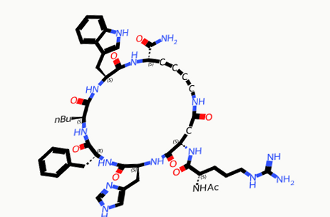 CCCC[C@@H]1NC(=O)[C@@H](Cc2ccccc2)NC(=O)[C@H](Cc2c[nH]cn2)NC(=O)[C@@H](NC(=O)[C@H](CCCNC(=N)N)NC(C)=O)CC(=O)NCCCC[C@@H](C(N)=O)NC(=O)[C@H](Cc2c[nH]c3ccccc23)NC1=O